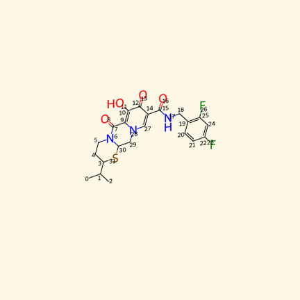 CC(C)C1CCN2C(=O)c3c(O)c(=O)c(C(=O)NCc4ccc(F)cc4F)cn3CC2S1